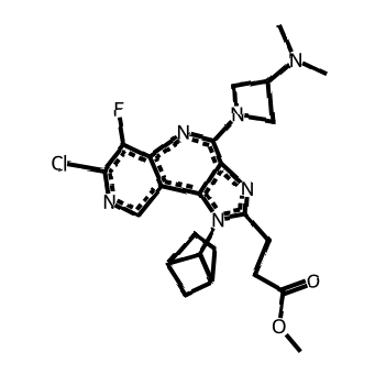 COC(=O)CCc1nc2c(N3CC(N(C)C)C3)nc3c(F)c(Cl)ncc3c2n1C1C2CCC1C2